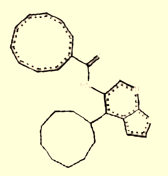 O=C(Nc1cnc2sccc2c1C1CCCCCCCC1)c1ccccccccc1